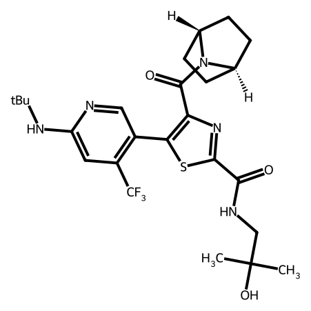 CC(C)(O)CNC(=O)c1nc(C(=O)N2[C@H]3CC[C@H]2CC3)c(-c2cnc(NC(C)(C)C)cc2C(F)(F)F)s1